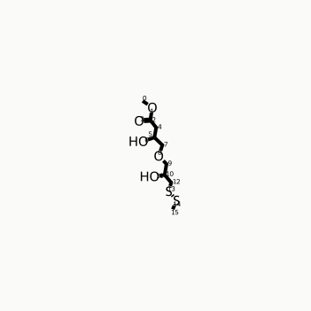 COC(=O)CC(O)COCC(O)CSSC